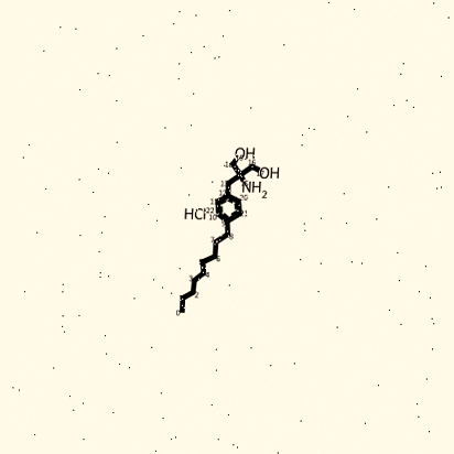 CCCCCCCCCc1ccc(CC(N)(CO)CO)cc1.Cl